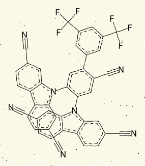 N#Cc1ccc2c3ccc(C#N)cc3n(-c3cc(C#N)c(-c4cc(C(F)(F)F)cc(C(F)(F)F)c4)cc3-n3c4cc(C#N)ccc4c4ccc(C#N)cc43)c2c1